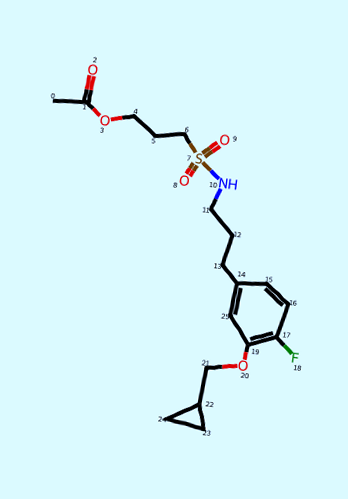 CC(=O)OCCCS(=O)(=O)NCCCc1ccc(F)c(OCC2CC2)c1